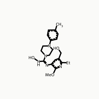 CCc1nc(OC)c(N=C(NO)N2CCN(c3ccc(C)cc3)CC2)cc1CO